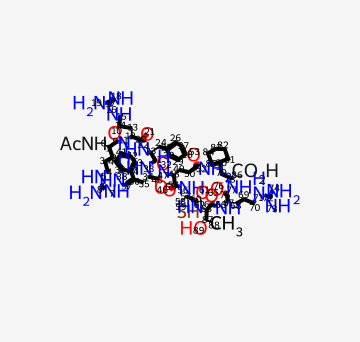 CC(=O)N[C@@H](CCCNC(=N)N)C(=O)N[C@@H](CCCNC(=N)N)C(=O)N[C@@H](Cc1ccccc1)C(=O)N[C@@H](Cc1c[nH]c2ccccc12)C(=O)N[C@@H](CCC(N)=O)C(=O)N[C@@H](CS)C(=O)N[C@H](C(=O)N[C@@H](CCCNC(=N)N)C(=O)N[C@@H](CC1CCCCC1)C(=O)O)[C@@H](C)O